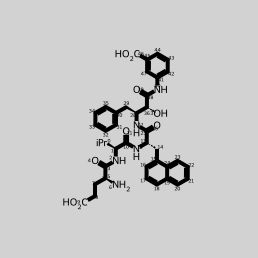 CC(C)[C@H](NC(=O)[C@@H](N)CCC(=O)O)C(=O)N[C@@H](Cc1cccc2ccccc12)C(=O)N[C@@H](Cc1ccccc1)[C@@H](O)C(=O)Nc1cccc(C(=O)O)c1